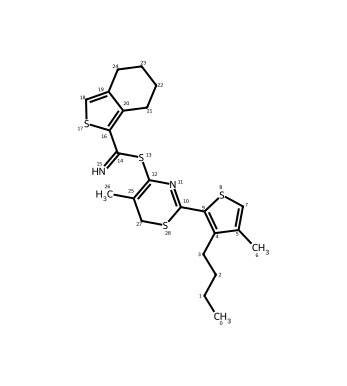 CCCCc1c(C)csc1C1=NC(SC(=N)c2scc3c2CCCC3)=C(C)CS1